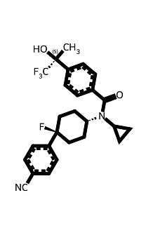 C[C@](O)(c1ccc(C(=O)N(C2CC2)[C@H]2CC[C@@](F)(c3ccc(C#N)cc3)CC2)cc1)C(F)(F)F